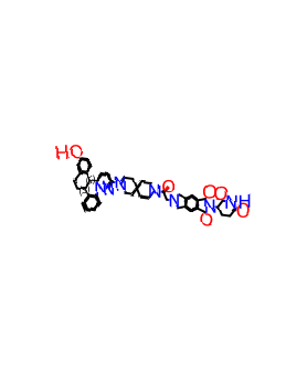 O=C1CCC(N2C(=O)c3cc4c(cc3C2=O)CN(CC(=O)N2CCC3(CC2)CCN(c2ccc([C@@H]5c6ccc(O)cc6CC[C@@H]5c5ccccc5)nn2)CC3)C4)C(=O)N1